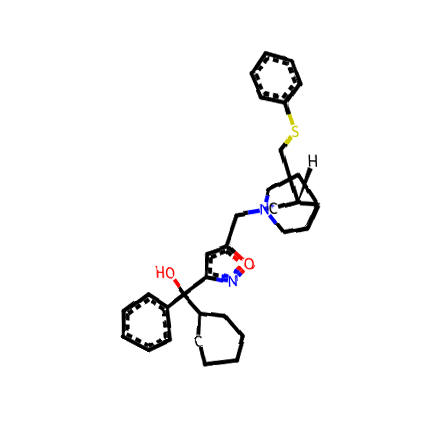 OC(c1ccccc1)(c1cc(C[N+]23CCC(CC2)[C@@H](CSc2ccccc2)C3)on1)C1CCCCC1